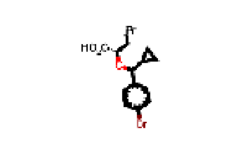 CC(C)C[C@H](OC(c1ccc(Br)cc1)C1CC1)C(=O)O